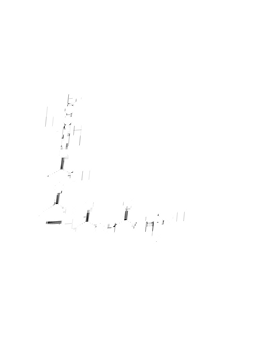 C=C.CC(=O)O.CC(=O)O.CC(=O)O.CC(=O)O.N.N.O.O.O.[Fe].[NaH]